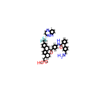 C1=CNc2ccccc2N=C1.NCc1ccc(-c2ccccc2C(=O)Nc2ccc(C(=O)C3Cc4cc(C(F)(F)F)ccc4-c4ccc5c(c43)CCCC5CC(=O)O)cc2)cc1